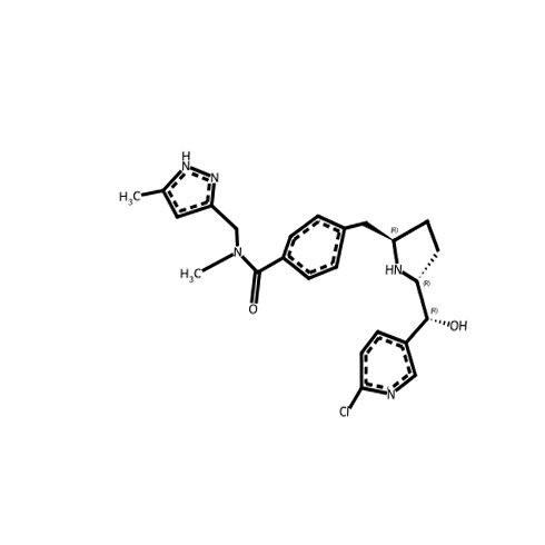 Cc1cc(CN(C)C(=O)c2ccc(C[C@H]3CC[C@H]([C@H](O)c4ccc(Cl)nc4)N3)cc2)n[nH]1